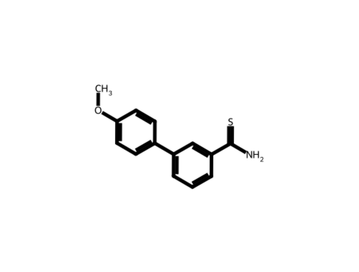 COc1ccc(-c2cccc(C(N)=S)c2)cc1